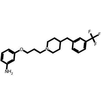 Nc1cccc(OCCCN2CCC(Cc3cccc(C(F)(F)F)c3)CC2)c1